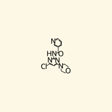 O=C(Nc1nc(Cl)cc(N2CCOCC2)n1)c1cccnc1